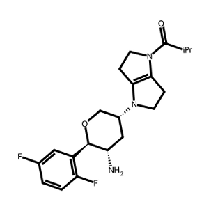 CC(C)C(=O)N1CCC2=C1CCN2[C@H]1CO[C@H](c2cc(F)ccc2F)[C@@H](N)C1